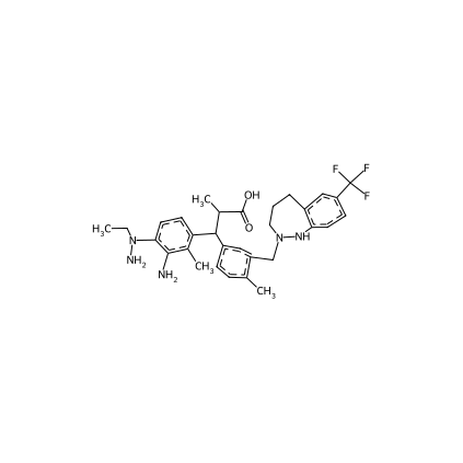 CCN(N)c1ccc(C(c2ccc(C)c(CN3CCCc4cc(C(F)(F)F)ccc4N3)c2)C(C)C(=O)O)c(C)c1N